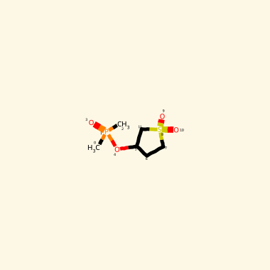 CP(C)(=O)OC1CCS(=O)(=O)C1